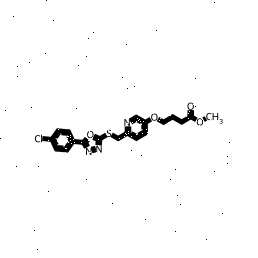 COC(=O)CCCOc1ccc(CSc2nnc(-c3ccc(Cl)cc3)o2)nc1